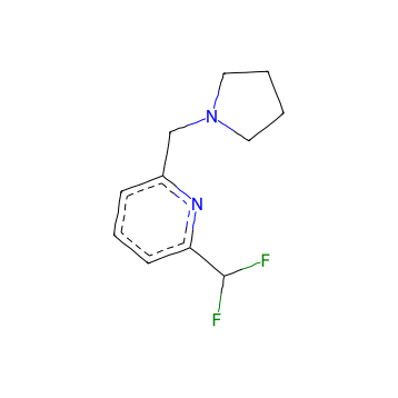 FC(F)c1cccc(CN2CCCC2)n1